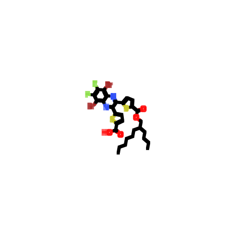 CCCCCCC(CCCC)COC(=O)c1ccc(-c2nc3c(Br)c(F)c(F)c(Br)c3nc2-c2ccc(C(=O)O)s2)s1